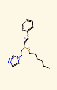 CCCCCCSC(/C=C/c1ccccc1)CCn1ccnc1